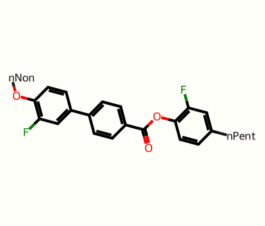 CCCCCCCCCOc1ccc(-c2ccc(C(=O)Oc3ccc(CCCCC)cc3F)cc2)cc1F